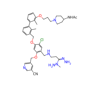 CC(=O)NC1CCN(CCCOc2cccc(-c3cccc(COc4cc(OCc5cncc(C#N)c5)c(CNCC/C(=N/N)N(C)N)cc4Cl)c3C)c2C)CC1